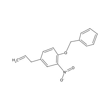 C=CCc1ccc(OCc2ccccc2)c([N+](=O)[O-])c1